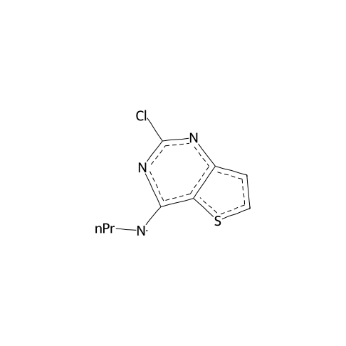 CCC[N]c1nc(Cl)nc2ccsc12